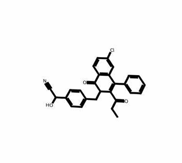 CCC(=O)C1=C(c2ccccc2)c2cc(Cl)ccc2C(=O)C1Cc1ccc(C(O)C#N)cc1